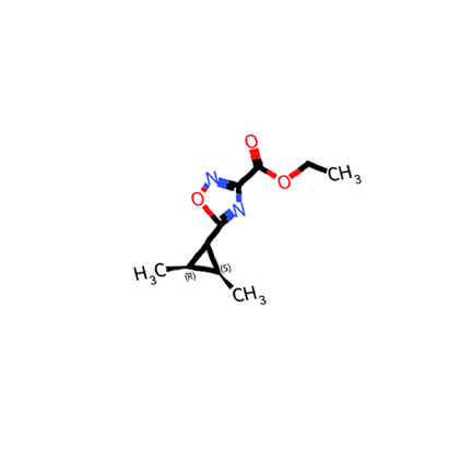 CCOC(=O)c1noc(C2[C@@H](C)[C@H]2C)n1